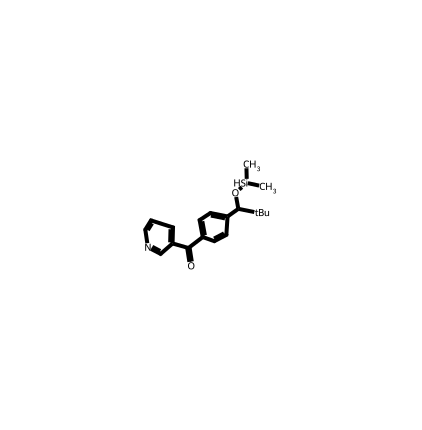 C[SiH](C)OC(c1ccc(C(=O)c2cccnc2)cc1)C(C)(C)C